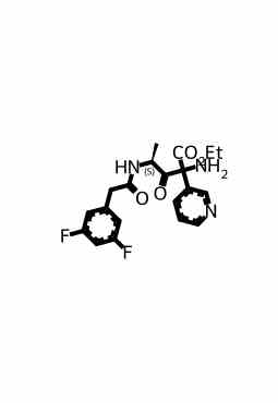 CCOC(=O)C(N)(C(=O)[C@H](C)NC(=O)Cc1cc(F)cc(F)c1)c1cccnc1